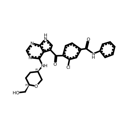 O=C(Nc1ccccc1)c1ccc(C(=O)c2c[nH]c3ncnc(N[C@@H]4CC[C@H](CO)OC4)c23)c(Cl)c1